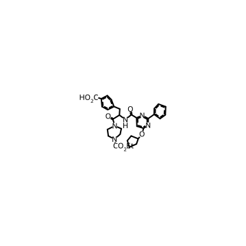 CCOC(=O)N1CCN(C(=O)C(Cc2ccc(C(=O)O)cc2)NC(=O)c2cc(OC3CCCC3)nc(-c3ccccc3)n2)CC1